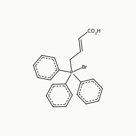 O=C(O)C=CCP(Br)(c1ccccc1)(c1ccccc1)c1ccccc1